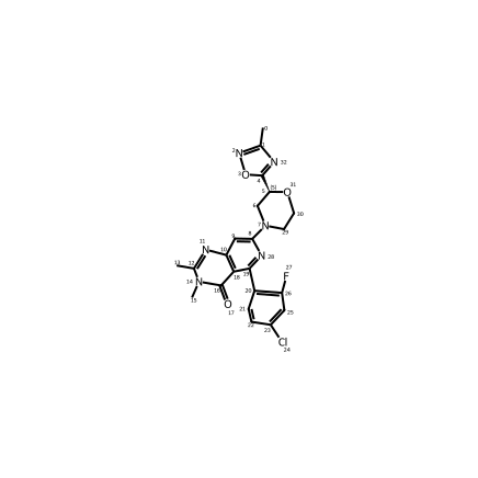 Cc1noc([C@@H]2CN(c3cc4nc(C)n(C)c(=O)c4c(-c4ccc(Cl)cc4F)n3)CCO2)n1